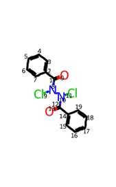 O=C(c1ccccc1)N(Cl)N(Cl)C(=O)c1ccccc1